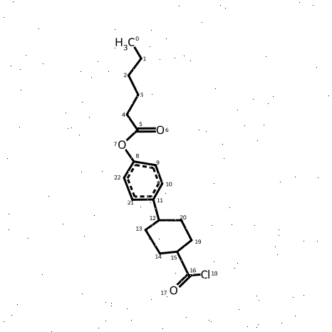 CCCCCC(=O)Oc1ccc(C2CCC(C(=O)Cl)CC2)cc1